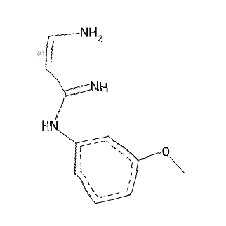 COc1cccc(NC(=N)/C=C\N)c1